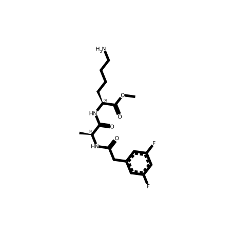 COC(=O)[C@H](CCCCN)NC(=O)[C@H](C)NC(=O)Cc1cc(F)cc(F)c1